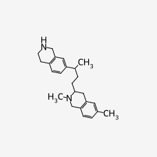 Cc1ccc2c(c1)CC(CCC(C)c1ccc3c(c1)CNCC3)N(C)C2